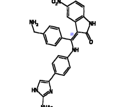 CC(=O)Nc1nc(-c2ccc(N/C(=C3\C(=O)Nc4ccc([N+](=O)[O-])cc43)c3ccc(CN)cc3)cc2)c[nH]1